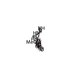 COc1c(Nc2ccc(N/C=N\C=N)cc2F)ncnc1OC1CC2COCC(C1)N2C(=O)OC1(C)CCC1